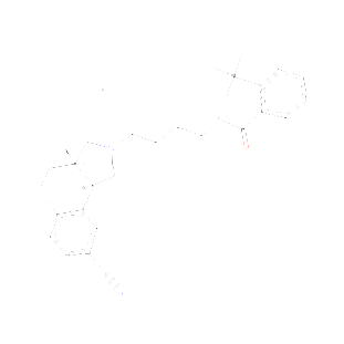 Cl.N#Cc1ccc2c(c1)[C@@H]1CN(CCCCNC(=O)c3ccccc3C(F)(F)F)C[C@H]1CO2